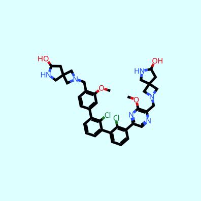 COc1cc(-c2cccc(-c3cccc(-c4cnc(CN5CC6(CNC(O)C6)C5)c(OC)n4)c3Cl)c2Cl)ccc1CN1CC2(CNC(O)C2)C1